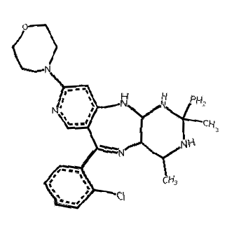 CC1NC(C)(P)NC2Nc3cc(N4CCOCC4)ncc3C(c3ccccc3Cl)=NC12